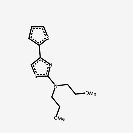 COCCN(CCOC)c1nc(-c2cccs2)cs1